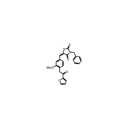 COc1cc(/C=C2/SC(=S)N(Cc3ccccc3)C2=O)ccc1CC(=O)c1ccco1